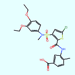 CCOc1ccc(N(C)S(=O)(=O)c2cc(Cl)sc2C(=O)Nc2cc(C(=O)O)ccc2C)cc1OCC